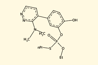 CCCSP(=O)(OCC)Oc1cc(-c2ccnnc2N(C)C)ccc1O